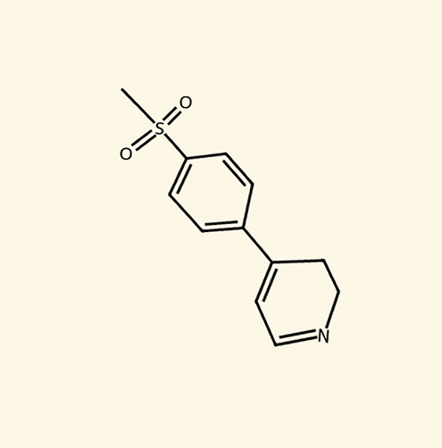 CS(=O)(=O)c1ccc(C2=CC=NCC2)cc1